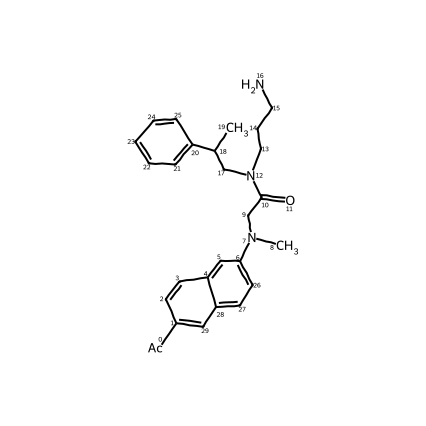 CC(=O)c1ccc2cc(N(C)CC(=O)N(CCCN)CC(C)c3ccccc3)ccc2c1